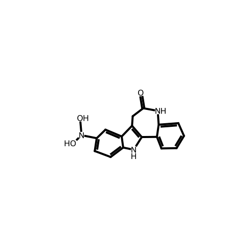 O=C1Cc2c([nH]c3ccc(N(O)O)cc23)-c2ccccc2N1